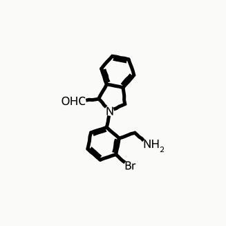 NCc1c(Br)cccc1N1Cc2ccccc2C1C=O